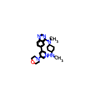 CNC1CCC(N(C)c2ncnc3ccc(-c4cncc(N5CCOCC5)c4)cc23)CC1